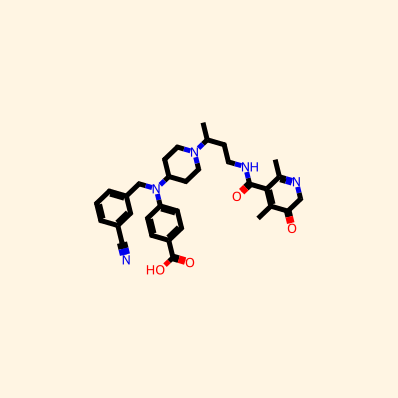 CC1=NCC(=O)C(C)=C1C(=O)NCCC(C)N1CCC(N(Cc2cccc(C#N)c2)c2ccc(C(=O)O)cc2)CC1